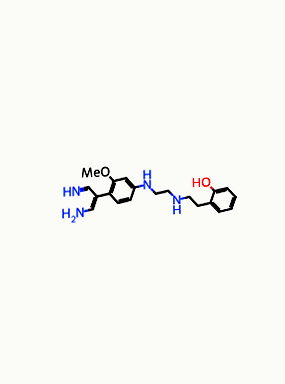 COc1cc(NCCNCCc2ccccc2O)ccc1/C(C=N)=C/N